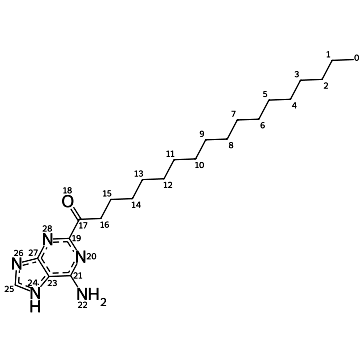 CCCCCCCCCCCCCCCCCC(=O)c1nc(N)c2[nH]cnc2n1